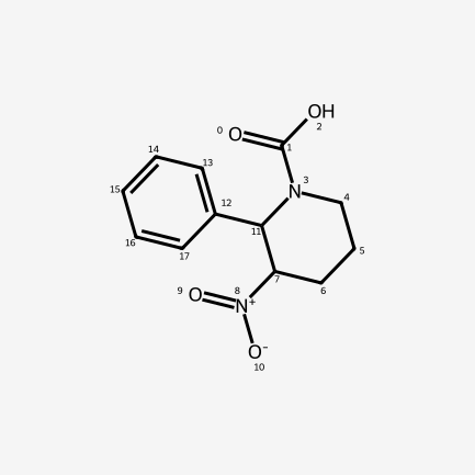 O=C(O)N1CCCC([N+](=O)[O-])C1c1ccccc1